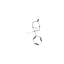 O=C1CC2CC1CC2(O)c1ccccc1